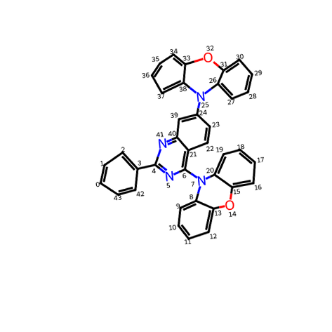 c1ccc(-c2nc(N3c4ccccc4Oc4ccccc43)c3ccc(N4c5ccccc5Oc5ccccc54)cc3n2)cc1